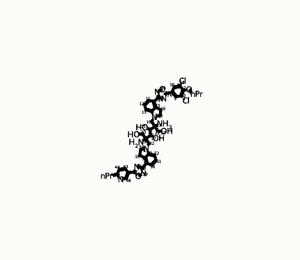 CCCOc1c(Cl)cc(-c2nc(-c3cccc4c3CCN4CC(N)(CO)C(O)C(O)C(N)(CO)CN3CCc4c(-c5noc(-c6ccc(CCC)nc6)n5)cccc43)no2)cc1Cl